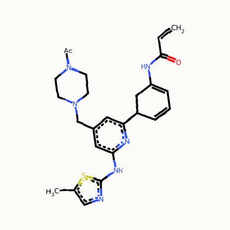 C=CC(=O)NC1=CC=CC(c2cc(CN3CCN(C(C)=O)CC3)cc(Nc3ncc(C)s3)n2)C1